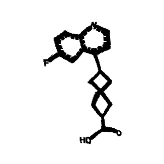 O=C(O)C1CC2(C1)CC(c1ccnc3ccc(F)cc13)C2